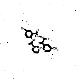 C/C(=N/NC(=O)c1cc(Br)ccc1NC(=O)c1cccnc1)C(=O)c1cccc(C)c1